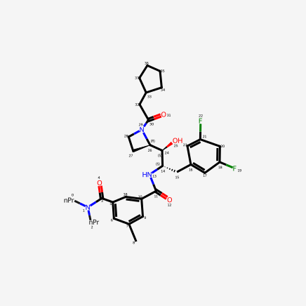 CCCN(CCC)C(=O)c1cc(C)cc(C(=O)N[C@@H](Cc2cc(F)cc(F)c2)[C@H](O)[C@H]2CCN2C(=O)CC2CCCC2)c1